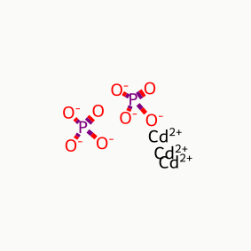 O=P([O-])([O-])[O-].O=P([O-])([O-])[O-].[Cd+2].[Cd+2].[Cd+2]